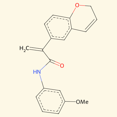 C=C(C(=O)Nc1cccc(OC)c1)c1ccc2c(c1)C=CCO2